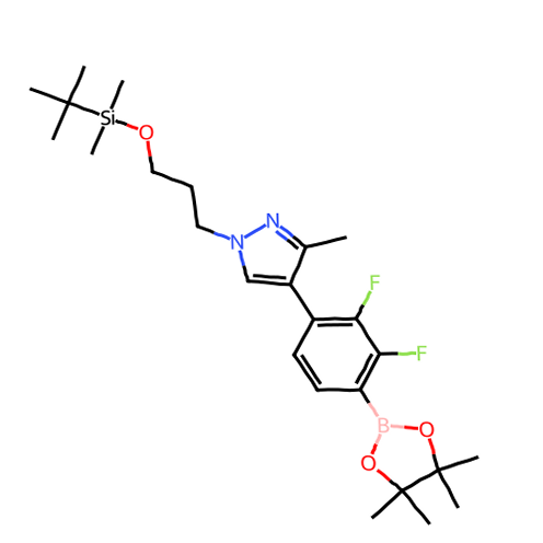 Cc1nn(CCCO[Si](C)(C)C(C)(C)C)cc1-c1ccc(B2OC(C)(C)C(C)(C)O2)c(F)c1F